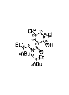 CCCCC(CC)CN(CC(CC)CCCC)C(=O)c1cc(Cl)cc(Cl)c1O